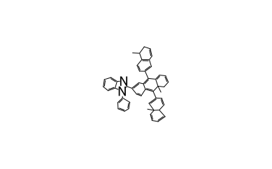 CC1CC=Cc2cc(C3=c4cc(-c5nc6ccccc6n5-c5ccccc5)ccc4=C(C4=CC5(C)C=CC=CC5C=C4)C4(C)CC=CC=C34)ccc21